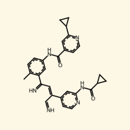 Cc1ccc(NC(=O)c2ccnc(C3CC3)c2)cc1C(=N)/C=C(\C=N)c1ccnc(NC(=O)C2CC2)c1